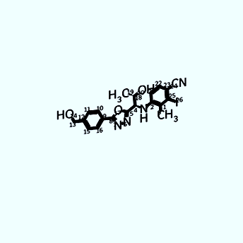 Cc1c(N[C@@H](c2nnc(-c3ccc(CO)cc3)o2)[C@H](C)O)ccc(C#N)c1I